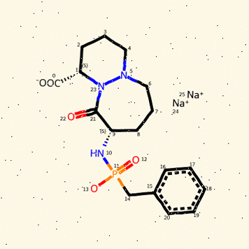 O=C([O-])[C@@H]1CCCN2CCC[C@H](NP(=O)([O-])Cc3ccccc3)C(=O)N12.[Na+].[Na+]